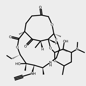 C#CN[C@@H]1[C@H](C)NC[C@@H](C)C[C@]2(C)OCC(=O)CC[C@](C)(C(=O)O[C@@H](CC)[C@@]1(C)O)C(=O)[C@@H](C)[C@H]2OC1OC(C)CC(N(C)C)C1O